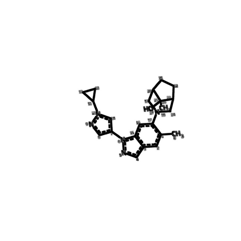 Cc1cc2cnn(-c3cnn(C4CC4)c3)c2cc1N1CC2CCC(C1)C2(C)O